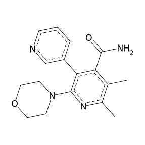 Cc1nc(N2CCOCC2)c(-c2cccnc2)c(C(N)=O)c1C